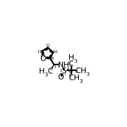 C[C@H](N[S+]([O-])C(C)(C)C)c1ccco1